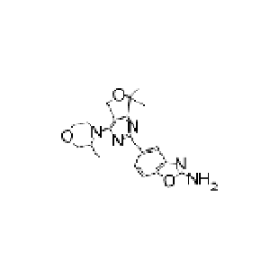 CC1COCCN1c1nc(-c2ccc3oc(N)nc3c2)nc2c1COC2(C)C